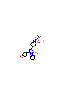 COc1ccc(-c2cc(C3CCN(C(=O)N(O)C(C)C)CC3)nn2-c2ccccc2OC)cc1